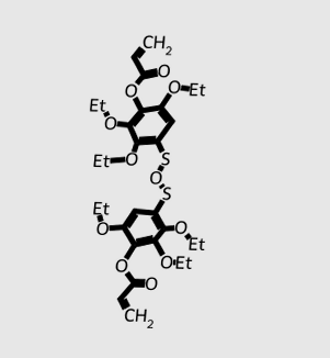 C=CC(=O)Oc1c(OCC)cc(SOSc2cc(OCC)c(OC(=O)C=C)c(OCC)c2OCC)c(OCC)c1OCC